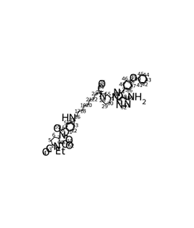 CCN1C(=C=O)CCC(N2C(=O)c3ccc(NCCCCCCCCC(=C=O)N4CCC[C@@H](n5nc(-c6ccc(Oc7ccccc7)cc6)c6c(N)ncnc65)C4)cc3C2=O)C1=C=O